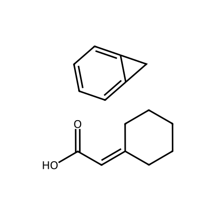 O=C(O)C=C1CCCCC1.c1ccc2c(c1)C2